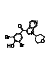 O=C(c1cc(Br)c(O)c(Br)c1)c1cn(C2CCOCC2)c2cnccc12